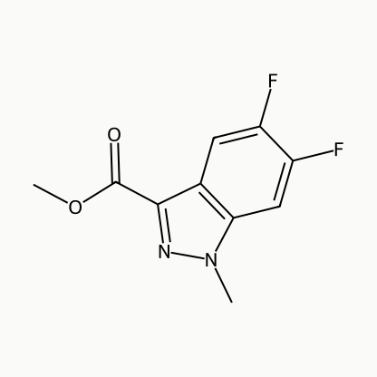 COC(=O)c1nn(C)c2cc(F)c(F)cc12